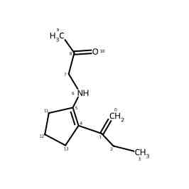 C=C(CC)C1=C(NCC(C)=O)CCC1